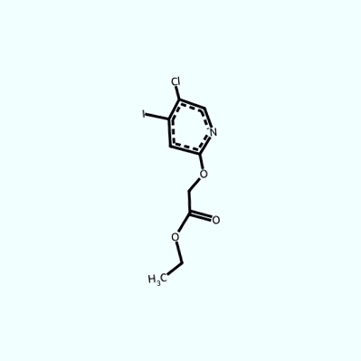 CCOC(=O)COc1cc(I)c(Cl)cn1